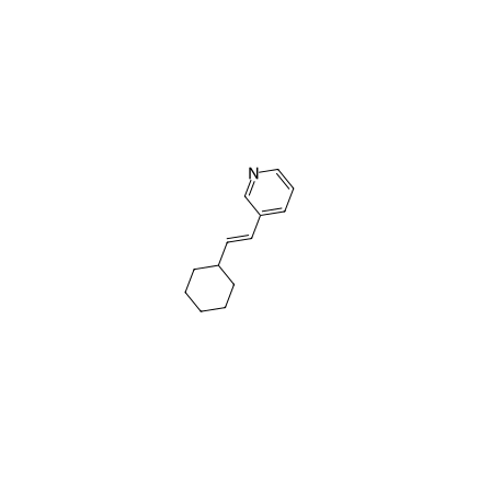 C(=CC1CCCCC1)c1cccnc1